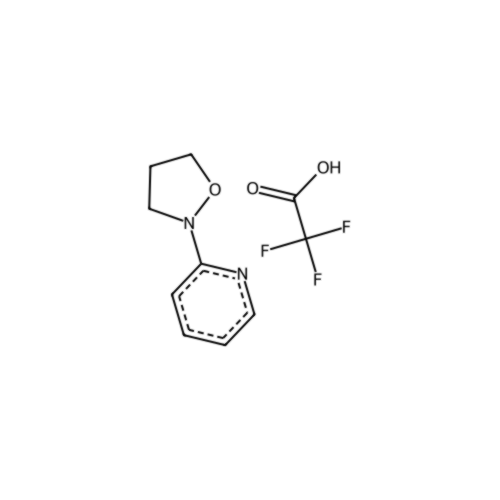 O=C(O)C(F)(F)F.c1ccc(N2CCCO2)nc1